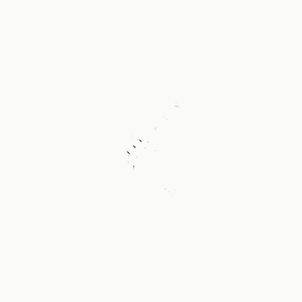 O.O.O.O.O=C(O)O.O=C(O)O.O=C(O)O.[Al+3].[Al+3].[Al+3].[Al+3].[Al+3].[O-2].[O-2].[O-2]